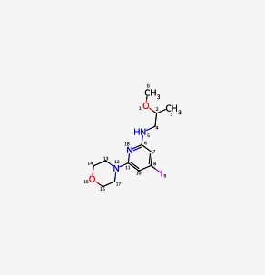 COC(C)CNc1cc(I)cc(N2CCOCC2)n1